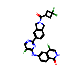 O=C(C1CC(F)(F)C1)N1Cc2ccc(-c3ncc(F)c(Nc4ccc5c(=O)[nH]cc(Cl)c5c4)n3)cc2C1